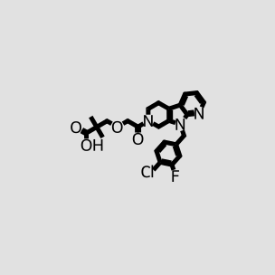 CC(C)(COCC(=O)N1CCc2c(n(Cc3ccc(Cl)c(F)c3)c3ncccc23)C1)C(=O)O